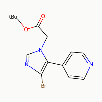 CC(C)(C)OC(=O)Cn1cnc(Br)c1-c1ccncc1